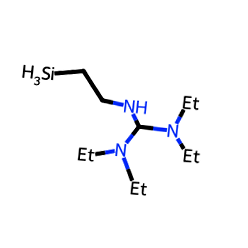 CCN(CC)C(NCC[SiH3])N(CC)CC